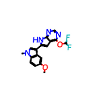 COc1ccc2c(c1)c(-c1cc3c(OC(F)F)ncnc3[nH]1)cn2C